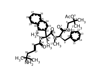 CC(=O)OC(C)(C)CNC(=O)[C@@H](Cc1ccccc1)N(C)C(=O)[C@@](C)(c1ccc2ccccc2c1)N(C)C(=O)C=CCC(C)(C)N